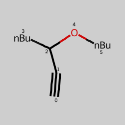 [C]#CC(CCCC)OCCCC